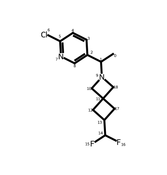 CC(c1ccc(Cl)nc1)N1CC2(CC(C(F)F)C2)C1